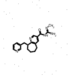 CN=C(N)NC(=O)c1cnc2c(c1)CCCCC2Cc1cccnc1